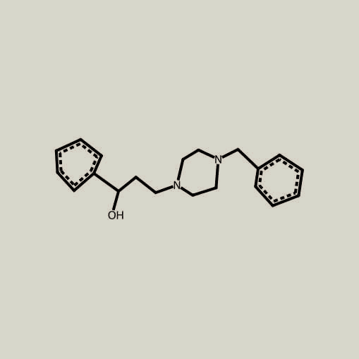 OC(CCN1CCN(Cc2ccccc2)CC1)c1ccccc1